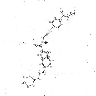 O=C(NO)c1ccc(C#CCNC(=O)c2cc3cc(OCCN4CCOCC4)ccc3o2)cc1